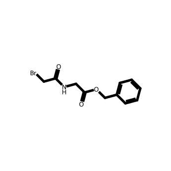 O=C(CBr)NCC(=O)OCc1ccccc1